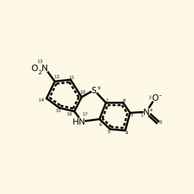 C=[N+]([O-])c1ccc2c(c1)Sc1cc([N+](=O)[O-])ccc1N2